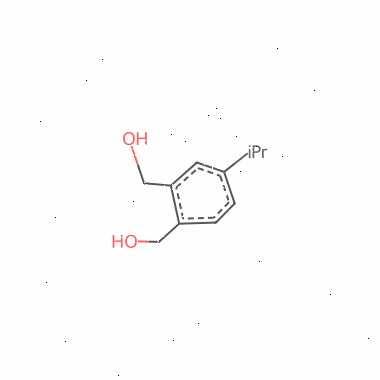 CC(C)c1ccc(CO)c(CO)c1